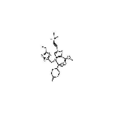 CCc1noc(CN(C(=O)C2CCC(C)CC2)c2cc(C#CC(C)(C)C)sc2C(=O)OC)n1